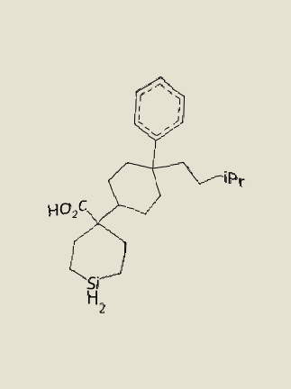 CC(C)CCC1(c2ccccc2)CCC(C2(C(=O)O)CC[SiH2]CC2)CC1